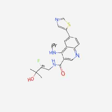 CC(C)Nc1c(C(=O)NC[C@@H](F)C(C)(C)O)cnc2ccc(-c3cncs3)cc12